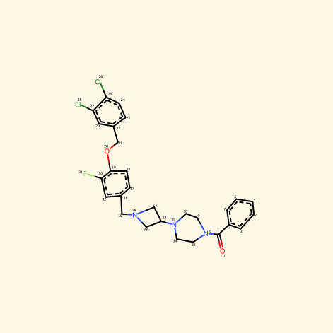 O=C(c1ccccc1)N1CCN(C2CN(Cc3ccc(OCc4ccc(Cl)c(Cl)c4)c(F)c3)C2)CC1